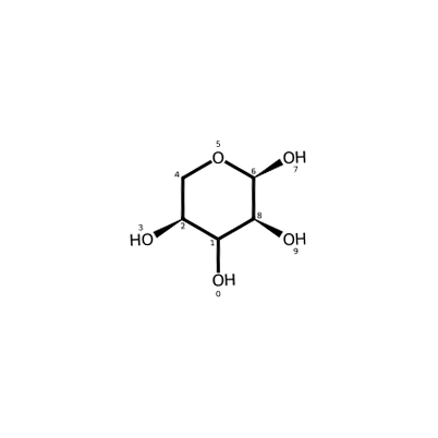 OC1[C@@H](O)CO[C@@H](O)[C@H]1O